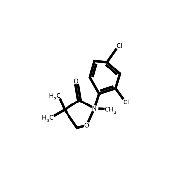 CC1(C)CO[N+](C)(c2ccc(Cl)cc2Cl)C1=O